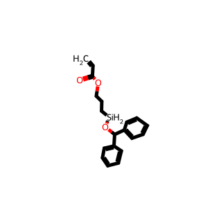 C=CC(=O)OCCC[SiH2]OC(c1ccccc1)c1ccccc1